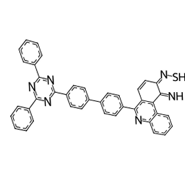 N=C1/C(=N\S)C=Cc2c(-c3ccc(-c4ccc(-c5nc(-c6ccccc6)nc(-c6ccccc6)n5)cc4)cc3)nc3ccccc3c21